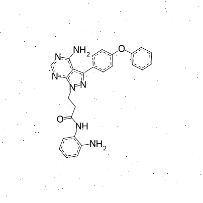 Nc1ccccc1NC(=O)CCn1nc(-c2ccc(Oc3ccccc3)cc2)c2c(N)ncnc21